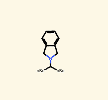 CCCCC(CCCC)N1Cc2ccccc2C1